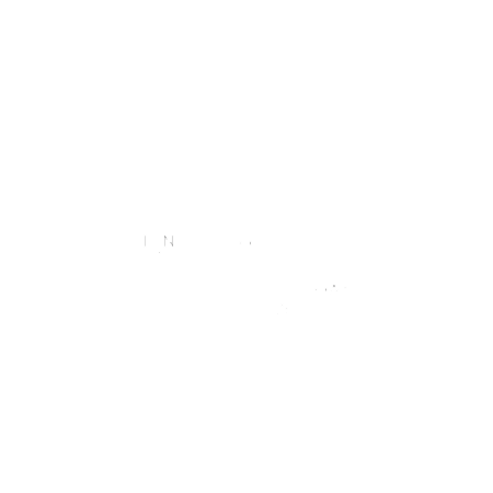 CC(=O)OOC(C)OC(C)N